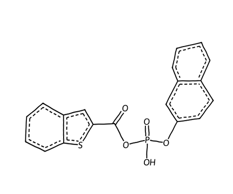 O=C(OP(=O)(O)Oc1ccc2ccccc2c1)c1cc2ccccc2s1